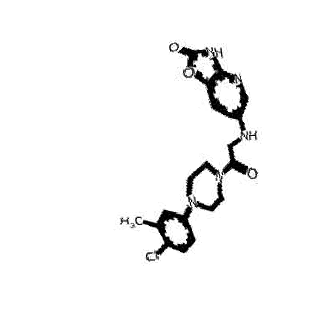 Cc1cc(N2CCN(C(=O)CNc3cnc4[nH]c(=O)oc4c3)CC2)ccc1Cl